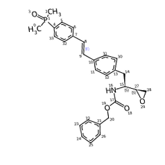 CP(C)(=O)c1ccc(/C=C/c2ccc(C[C@H](NC(=O)OCc3ccccc3)[C@H]3CO3)cc2)cc1